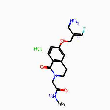 CCCNC(=O)CN1CCc2cc(OC/C(=C/F)CN)ccc2C1=O.Cl